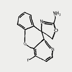 NC1=NC2(CO1)c1ccccc1Oc1c(F)ccnc12